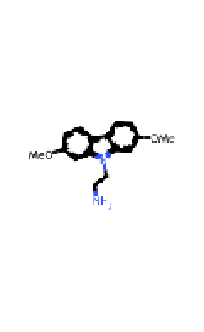 COc1ccc2c3ccc(OC)cc3n(CCN)c2c1